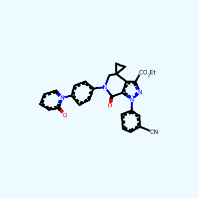 CCOC(=O)c1nn(-c2cccc(C#N)c2)c2c1C1(CC1)CN(c1ccc(-n3ccccc3=O)cc1)C2=O